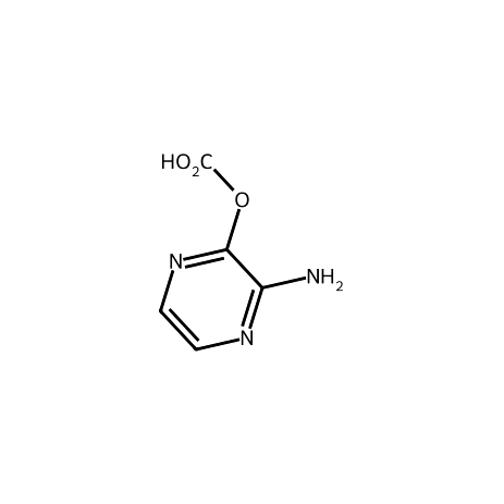 Nc1nccnc1OC(=O)O